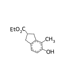 CCOC(=O)C1Cc2ccc(O)c(C)c2C1